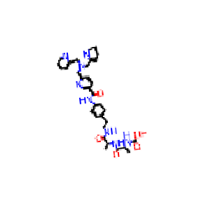 CC(NC(=O)O)C(=O)NC(C)C(=O)NCCc1ccc(NC(=O)c2ccc(CN(Cc3ccccn3)Cc3ccccn3)nc2)cc1